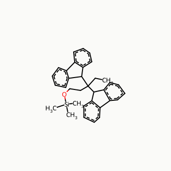 CCC(CCO[Si](C)(C)C)(C1c2ccccc2-c2ccccc21)C1c2ccccc2-c2ccccc21